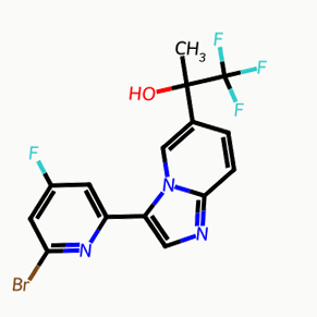 CC(O)(c1ccc2ncc(-c3cc(F)cc(Br)n3)n2c1)C(F)(F)F